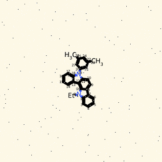 CCn1c2ccccc2c2ccc3c(c4ccccc4n3-c3cc(C)cc(C)c3)c21